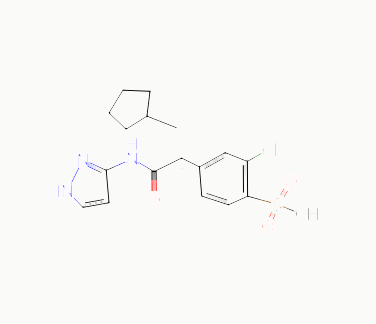 CS(=O)(=O)c1ccc([C@@H](CC2CCCC2)C(=O)Nc2cc[nH]n2)cc1Cl